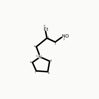 CCC(CN=O)CN1CCCC1